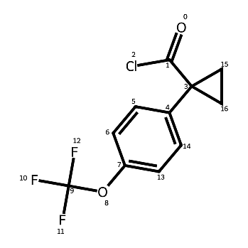 O=C(Cl)C1(c2ccc(OC(F)(F)F)cc2)CC1